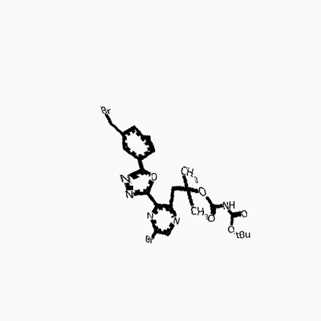 CC(C)(C)OC(=O)NC(=O)OC(C)(C)Cc1ncc(Br)nc1-c1nnc(-c2cccc(CBr)c2)o1